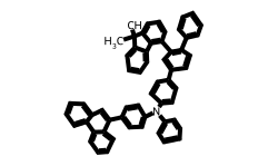 CC1(C)c2ccccc2-c2c(-c3cc(-c4ccc(N(c5ccccc5)c5ccc(-c6cc7ccccc7c7ccccc67)cc5)cc4)ccc3-c3ccccc3)cccc21